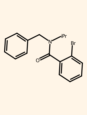 CC(C)N(Cc1ccccc1)C(=O)c1ccccc1Br